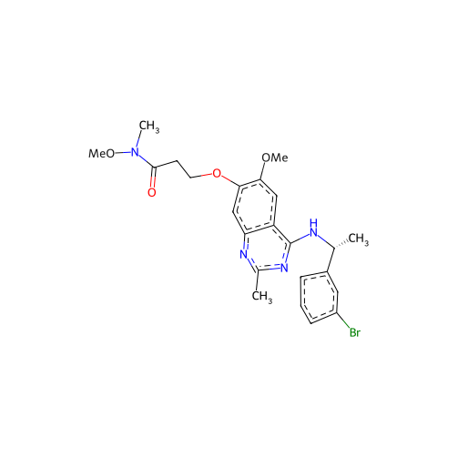 COc1cc2c(N[C@H](C)c3cccc(Br)c3)nc(C)nc2cc1OCCC(=O)N(C)OC